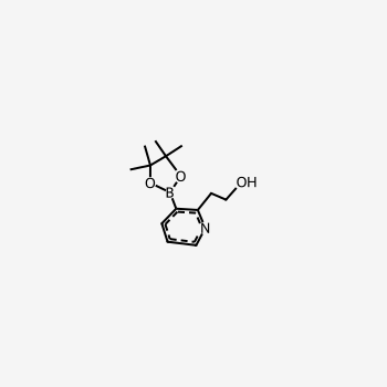 CC1(C)OB(c2cccnc2CCO)OC1(C)C